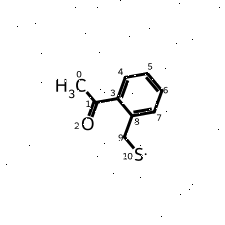 CC(=O)c1ccccc1C[S]